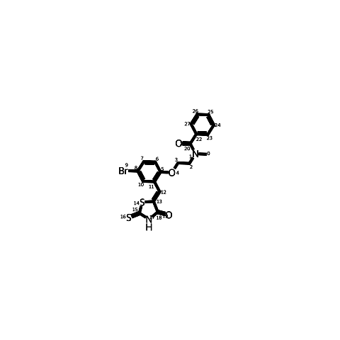 CN(CCOc1ccc(Br)cc1/C=C1\SC(=S)NC1=O)C(=O)c1ccccc1